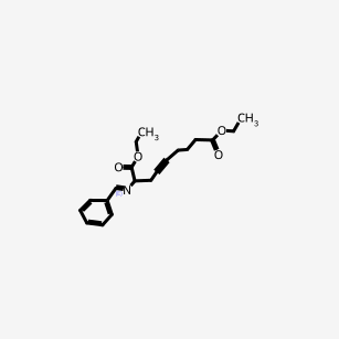 CCOC(=O)CCCC#CCC(/N=C/c1ccccc1)C(=O)OCC